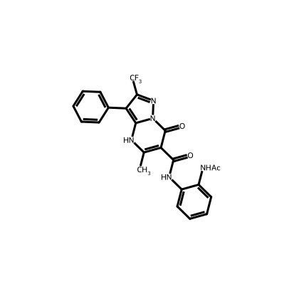 CC(=O)Nc1ccccc1NC(=O)c1c(C)[nH]c2c(-c3ccccc3)c(C(F)(F)F)nn2c1=O